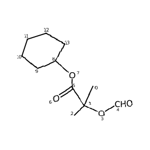 CC(C)(OC=O)C(=O)OC1CCCCC1